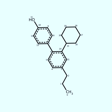 CCCc1ccc(-c2ccc(O)cc2)c(C2CCCCC2)c1